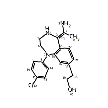 C/C(N)=C1/NCCN(c2ccc(Cl)cc2)c2cc(CCO)ccc21